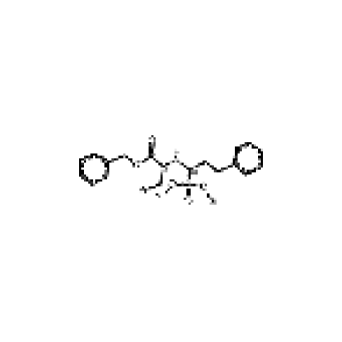 CCOP(=O)(OCC)[C@H](CCc1ccccc1)N[C@@H](CC(C)C)C(=O)OCc1ccccc1